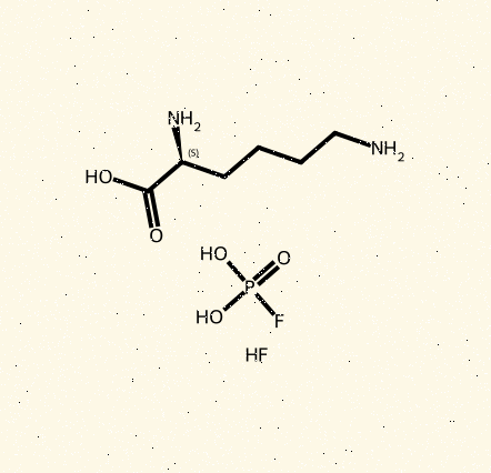 F.NCCCC[C@H](N)C(=O)O.O=P(O)(O)F